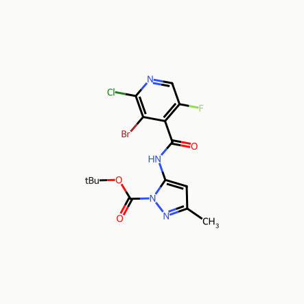 Cc1cc(NC(=O)c2c(F)cnc(Cl)c2Br)n(C(=O)OC(C)(C)C)n1